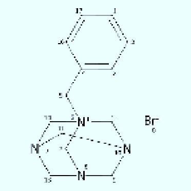 [Br-].c1ccc(C[N+]23CN4CN(CN(C4)C2)C3)cc1